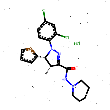 C[C@H]1C(C(=O)NN2CCCCC2)=NN(c2ccc(Cl)cc2Cl)[C@H]1c1cccs1.Cl